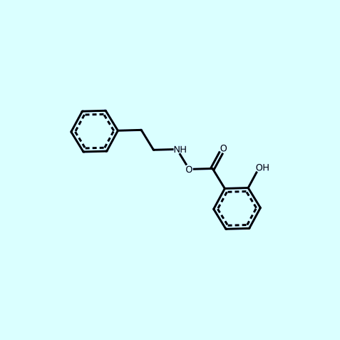 O=C(ONCCc1ccccc1)c1ccccc1O